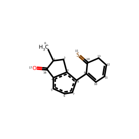 CC1Cc2c(cccc2C2=CC=CCC2=S)C1=O